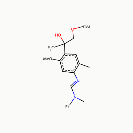 CCCCOCC(O)(c1cc(C)c(N=CN(C)CC)cc1OC)C(F)(F)F